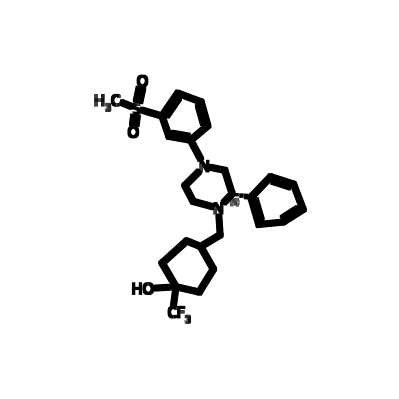 CS(=O)(=O)c1cccc(N2CCN(CC3CCC(O)(C(F)(F)F)CC3)[C@@H](c3ccccc3)C2)c1